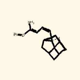 CC(C)O/C(N)=C/C=C\[C@@H]1C2CC3CC4CC(C2)C341